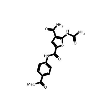 COC(=O)c1ccc(NC(=O)c2cc(C(N)=O)c(NC(N)=O)s2)cc1